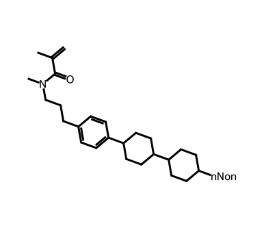 C=C(C)C(=O)N(C)CCCc1ccc(C2CCC(C3CCC(CCCCCCCCC)CC3)CC2)cc1